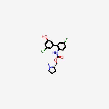 CN1CCC[C@H]1COC(=O)Nc1ccc(F)cc1-c1cc(O)cc(Cl)c1